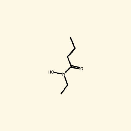 CCCC(=O)N(O)CC